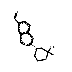 C=Cc1ccc2nc([C@H]3CCOC(C)(C)C3)ncc2c1